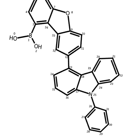 OB(O)c1cccc2oc3ccc(-c4cccc5c4c4ccccc4n5-c4ccccc4)cc3c12